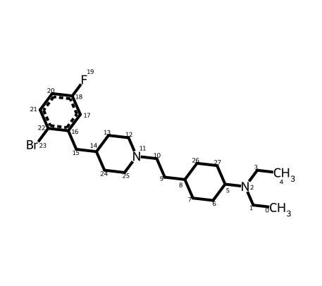 CCN(CC)C1CCC(CCN2CCC(Cc3cc(F)ccc3Br)CC2)CC1